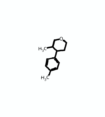 Cc1ccc(C2CCOCC2C)cc1